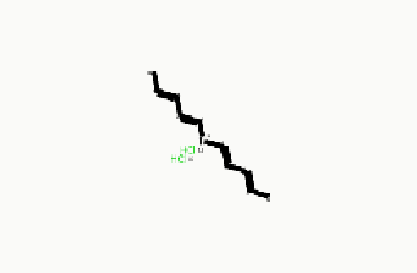 CC=CC=[CH][Ti][CH]=CC=CC.Cl.Cl